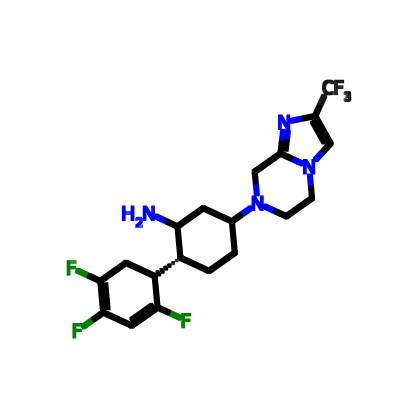 NC1CC(N2CCn3cc(C(F)(F)F)nc3C2)CC[C@@H]1C1CC(F)=C(F)C=C1F